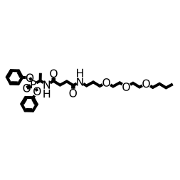 CCCCOCCOCCOCCCNC(=O)CCC(=O)NC(C)P(=O)(Oc1ccccc1)Oc1ccccc1